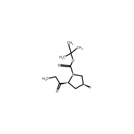 CCC(=O)[C@@H]1C[C@H](F)CN1C(=O)OC(C)(C)C